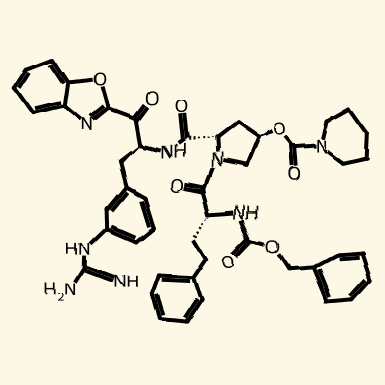 N=C(N)Nc1cccc(C[C@H](NC(=O)[C@@H]2C[C@@H](OC(=O)N3CCCCC3)CN2C(=O)[C@@H](CCc2ccccc2)NC(=O)OCc2ccccc2)C(=O)c2nc3ccccc3o2)c1